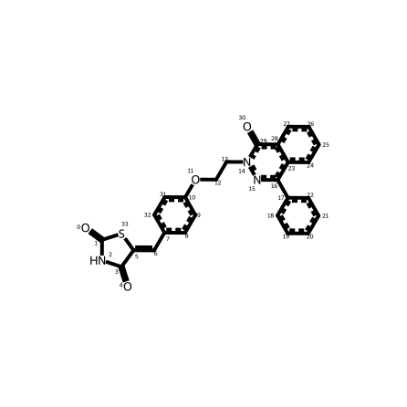 O=C1NC(=O)C(=Cc2ccc(OCCn3nc(-c4ccccc4)c4ccccc4c3=O)cc2)S1